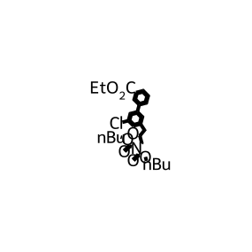 CCCCOC(=O)N(CC1Cc2cc(-c3cccc(C(=O)OCC)c3)cc(Cl)c2O1)C(=O)OCCCC